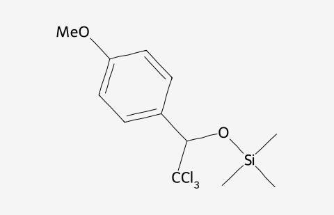 COc1ccc(C(O[Si](C)(C)C)C(Cl)(Cl)Cl)cc1